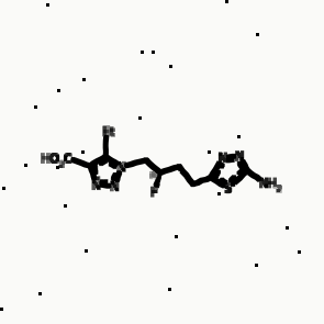 CCc1c(C(=O)O)nnn1C[C@H](F)CCc1nnc(N)s1